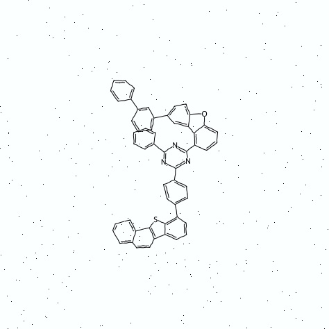 c1ccc(-c2cccc(-c3ccc4oc5cccc(-c6nc(-c7ccccc7)nc(-c7ccc(-c8cccc9c8sc8c%10ccccc%10ccc98)cc7)n6)c5c4c3)c2)cc1